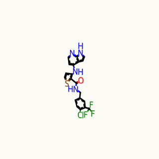 O=C(NCc1ccc(Cl)c(C(F)(F)F)c1)c1sccc1Nc1ccnc2[nH]ccc12